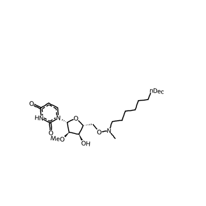 CCCCCCCCCCCCCCCCN(C)OC[C@H]1O[C@@H](n2ccc(=O)[nH]c2=O)[C@H](OC)[C@@H]1O